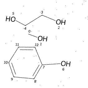 CO.OCCO.Oc1ccccc1